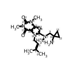 CC(C)=CCn1c(N(C)CC2(N)CC2)nc2c1c(=O)n(C)c(=O)n2C